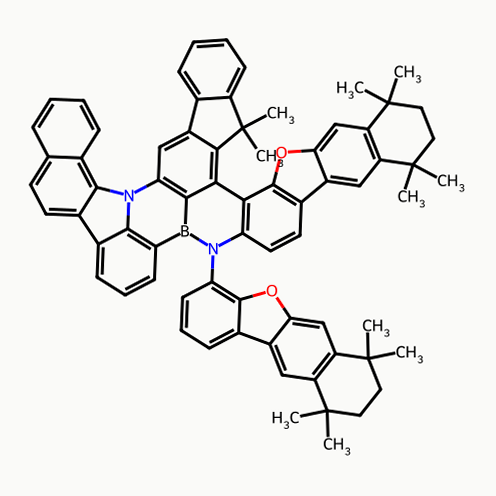 CC1(C)CCC(C)(C)c2cc3c(cc21)oc1c(N2B4c5c(cc6c(c5-c5c2ccc2c5oc5cc7c(cc52)C(C)(C)CCC7(C)C)C(C)(C)c2ccccc2-6)-n2c5c4cccc5c4ccc5ccccc5c42)cccc13